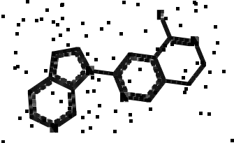 FC1=NCCc2cnc(-n3ccc4ccncc43)cc21